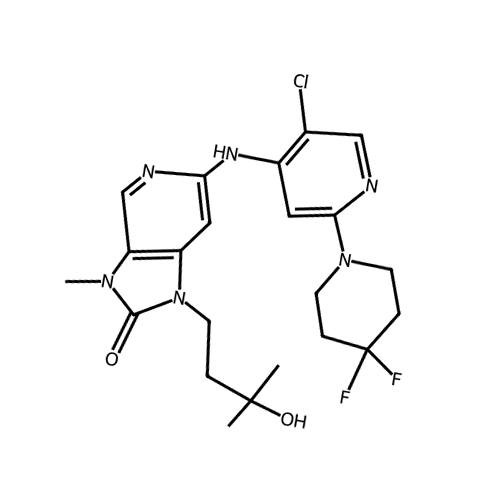 Cn1c(=O)n(CCC(C)(C)O)c2cc(Nc3cc(N4CCC(F)(F)CC4)ncc3Cl)ncc21